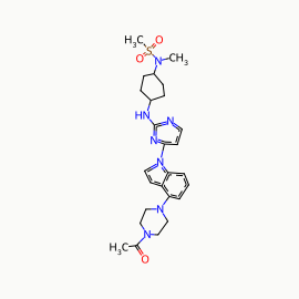 CC(=O)N1CCN(c2cccc3c2ccn3-c2ccnc(NC3CCC(N(C)S(C)(=O)=O)CC3)n2)CC1